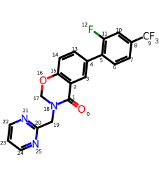 O=C1c2cc(-c3ccc(C(F)(F)F)cc3F)ccc2OCN1Cc1ncccn1